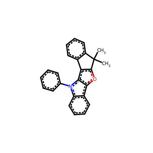 CC1(C)c2ccccc2-c2c1oc1c3ccccc3n(-c3ccccc3)c21